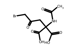 CC(=O)NC(CC(=O)CBr)(C(=O)O)C(=O)O